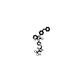 Cn1c(C(=O)O)cnc1CN1CC[C@H](n2c(=O)n(-c3ccc(Cc4ccccc4)cc3)c3cccnc32)C1